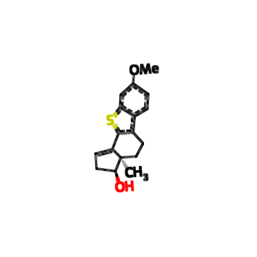 COc1ccc2c3c(sc2c1)C1=CC[C@H](O)[C@]1(C)CC3